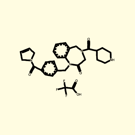 O=C(O)C(F)(F)F.O=C(c1ccc(CN2C(=O)CN(C(=O)C3CCNCC3)Cc3ccccc32)cc1)N1CC=CC1